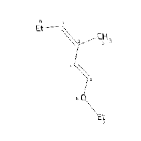 CCC=C(C)C=COCC